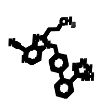 CCCc1nc2c(C#N)nccc2n1Cc1ccc(-c2ccccc2-c2nnn[nH]2)cc1